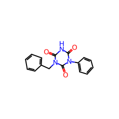 O=c1[nH]c(=O)n(-c2ccccc2)c(=O)n1Cc1ccccc1